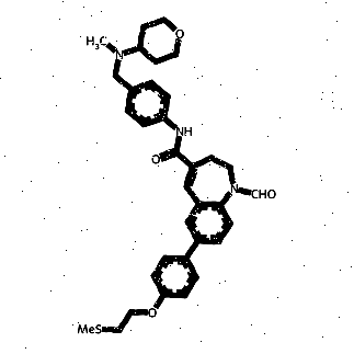 CSCCOc1ccc(-c2ccc3c(c2)C=C(C(=O)Nc2ccc(CN(C)C4CCOCC4)cc2)CCN3C=O)cc1